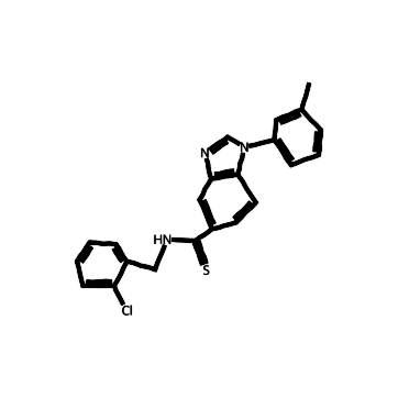 Cc1cccc(-n2cnc3cc(C(=S)NCc4ccccc4Cl)ccc32)c1